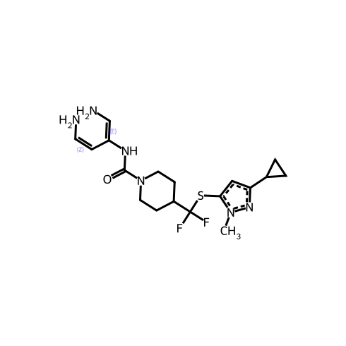 Cn1nc(C2CC2)cc1SC(F)(F)C1CCN(C(=O)NC(/C=C\N)=C/N)CC1